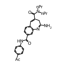 CCCN(CCC)C(=O)C1=Cc2ccc(C(=O)Nc3ccc(C(C)=O)cc3)cc2N=C(N)C1